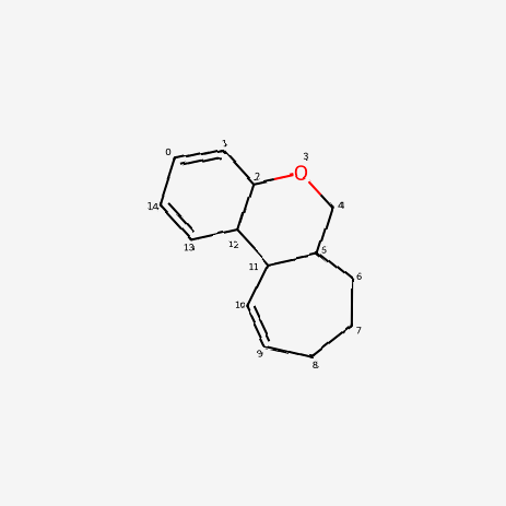 C1=CC2OCC3CCCC=CC3C2C=C1